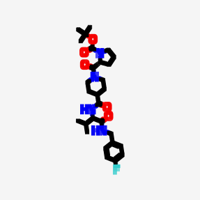 CC(C)[C@@H](NC(=O)C1CCN(C(=O)[C@@H]2CCCN2C(=O)OC(C)(C)C)CC1)C(=O)NCc1ccc(F)cc1